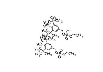 CCOP(=O)([O-])OCc1cc(C(C)(C)C)c(O)c(C(C)(C)C)c1.CCOP(=O)([O-])OCc1cc(C(C)(C)C)c(O)c(C(C)(C)C)c1.[Sr+2]